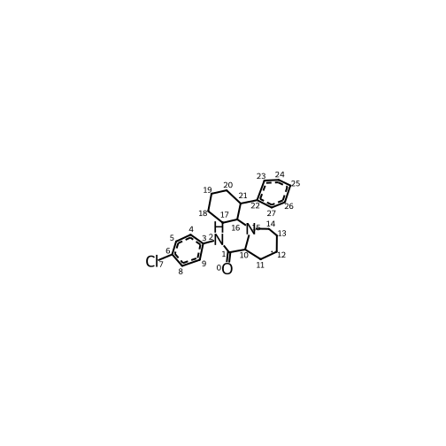 O=C(Nc1ccc(Cl)cc1)C1C[CH]CCN1C1CCCCC1c1ccccc1